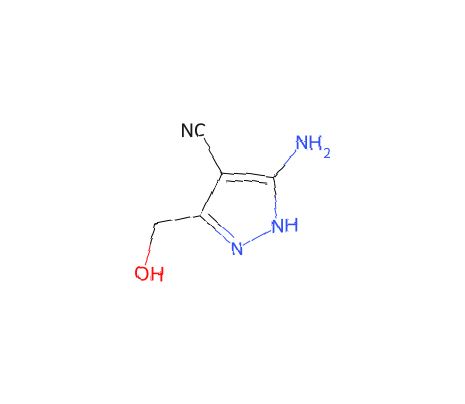 N#Cc1c(CO)n[nH]c1N